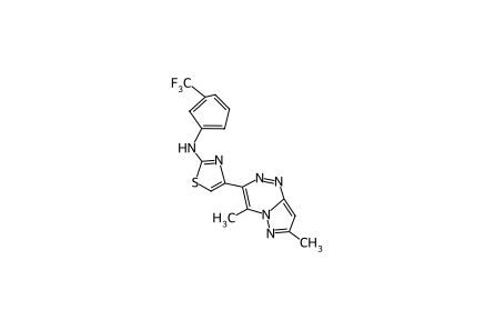 Cc1cc2nnc(-c3csc(Nc4cccc(C(F)(F)F)c4)n3)c(C)n2n1